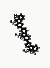 CC1(C)c2cc(-c3ccc4c(n3)-c3ccccc3C4(C)C)ccc2-c2ccc(-c3ccc4c(n3)-c3ccccc3C4(C)C)cc21